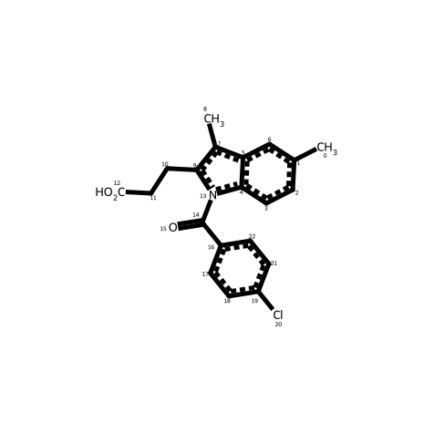 Cc1ccc2c(c1)c(C)c(CCC(=O)O)n2C(=O)c1ccc(Cl)cc1